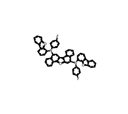 Fc1ccc(N(c2cc3c(oc4cc(N(c5ccc(F)cc5)c5cccc6c5oc5ccccc56)c5ccccc5c43)c3ccccc23)c2cccc3c2oc2ccccc23)cc1